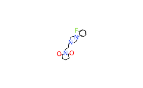 O=C1CCCC(=O)N1CCCN1CCN(c2ccccc2F)CC1